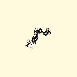 CS(=O)(=O)c1cccc(-c2ccc3nnc(C(F)(F)c4ccc5nc(NC(=O)C6CC6)cn5n4)n3c2)c1